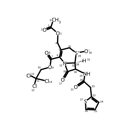 CC(=O)OCC1=C(C(=O)OCC(Cl)(Cl)Cl)N2C(=O)C(NC(=O)Cc3cccs3)[C@@H]2[S+]([O-])C1